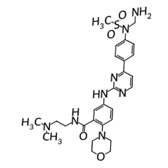 CN(C)CCNC(=O)c1cc(Nc2nccc(-c3ccc(N(CN)S(C)(=O)=O)cc3)n2)ccc1N1CCOCC1